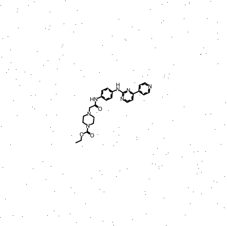 CCOC(=O)N1CCN(CC(=O)Nc2ccc(Nc3nccc(-c4ccncc4)n3)cc2)CC1